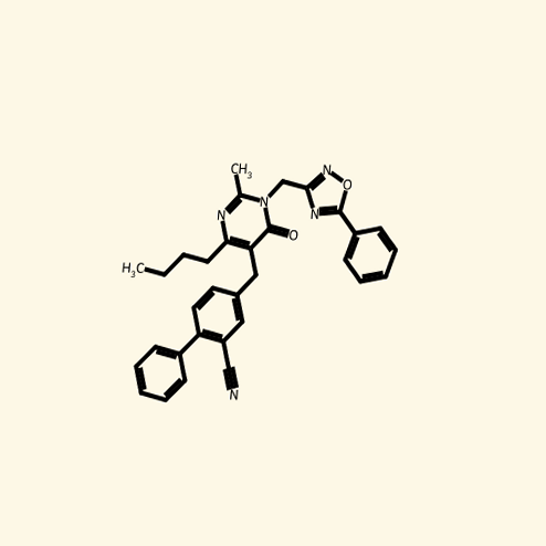 CCCCc1nc(C)n(Cc2noc(-c3ccccc3)n2)c(=O)c1Cc1ccc(-c2ccccc2)c(C#N)c1